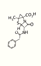 CC12CC1(C(=O)O)N1C(=O)C(NC(=O)Cc3ccccc3)[C@H]1S2